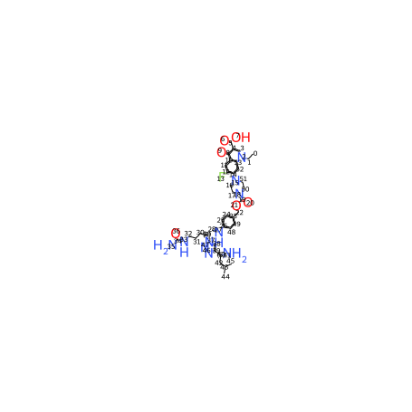 CCn1cc(C(=O)O)c(=O)c2cc(F)c(N3CCN(C(=O)OCc4ccc(NC[C@@H](CCCNC(N)=O)n5cc([C@@H](N)CC(C)C)nn5)cc4)CC3)cc21